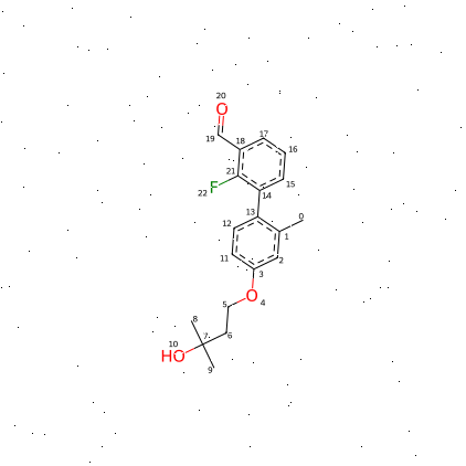 Cc1cc(OCCC(C)(C)O)ccc1-c1cccc(C=O)c1F